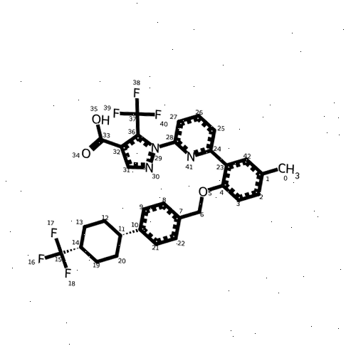 Cc1ccc(OCc2ccc([C@H]3CC[C@@H](C(F)(F)F)CC3)cc2)c(-c2cccc(-n3ncc(C(=O)O)c3C(F)(F)F)n2)c1